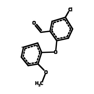 COc1cc[c]cc1Oc1ccc(Cl)cc1C=O